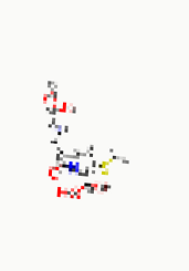 CCSC1CC2C(C/C=C/C(=O)OC)C(=O)N2[C@H]1C(=O)O